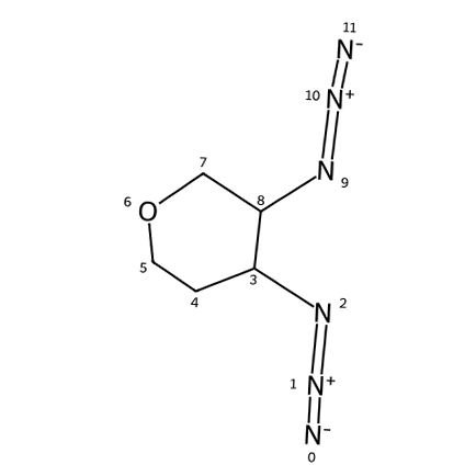 [N-]=[N+]=NC1CCOCC1N=[N+]=[N-]